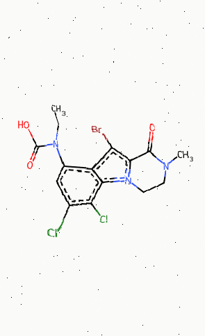 CCN(C(=O)O)c1cc(Cl)c(Cl)c2c1c(Br)c1n2CCN(C)C1=O